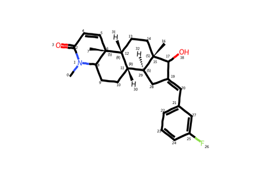 CN1C(=O)C=C[C@@]2(C)C1CC[C@@H]1[C@H]2CC[C@]2(C)C(O)C(=Cc3cccc(F)c3)C[C@@H]12